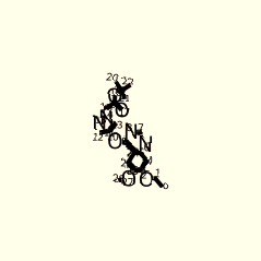 CCOc1cc2ncnc(Oc3cnn(CC(=O)OC(C)(C)C)c3)c2cc1OC